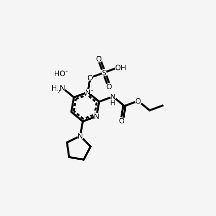 CCOC(=O)Nc1nc(N2CCCC2)cc(N)[n+]1OS(=O)(=O)O.[OH-]